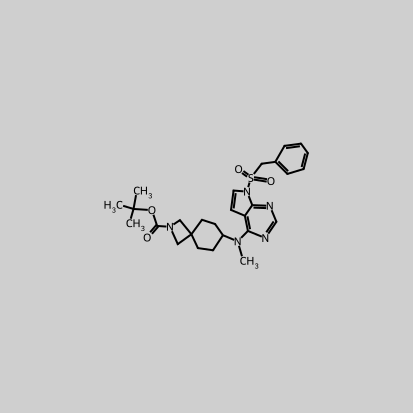 CN(c1ncnc2c1ccn2S(=O)(=O)Cc1ccccc1)C1CCC2(CC1)CN(C(=O)OC(C)(C)C)C2